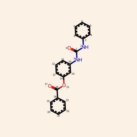 O=C(Nc1ccccc1)Nc1cccc(OC(=O)c2ccccc2)c1